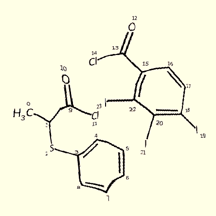 CC(Sc1ccccc1)C(=O)Cl.O=C(Cl)c1ccc(I)c(I)c1I